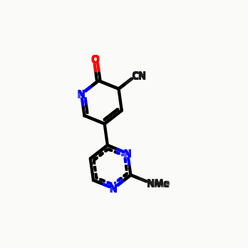 CNc1nccc(C2=CC(C#N)C(=O)N=C2)n1